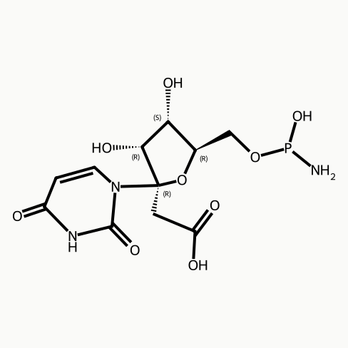 NP(O)OC[C@H]1O[C@@](CC(=O)O)(n2ccc(=O)[nH]c2=O)[C@H](O)[C@@H]1O